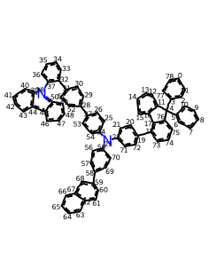 c1ccc(C2(c3ccccc3)c3ccccc3-c3c(-c4ccc(N(c5ccc(-c6ccc(-c7ccccc7-n7c8ccccc8c8ccccc87)cc6)cc5)c5ccc(-c6ccc7ccccc7c6)cc5)cc4)cccc32)cc1